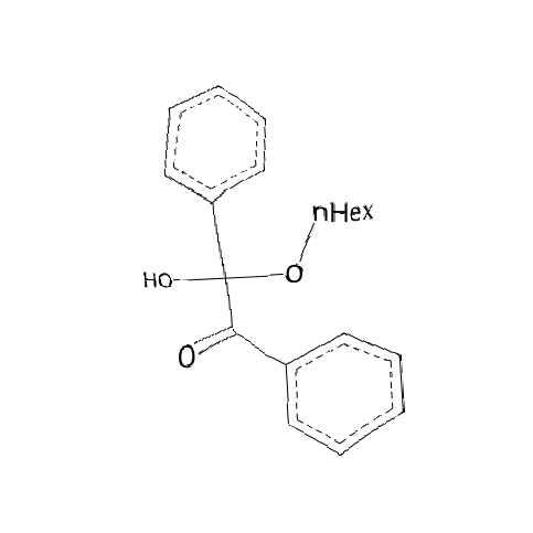 CCCCCCOC(O)(C(=O)c1ccccc1)c1ccccc1